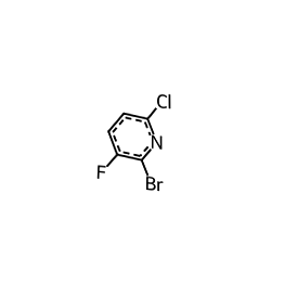 Fc1ccc(Cl)nc1Br